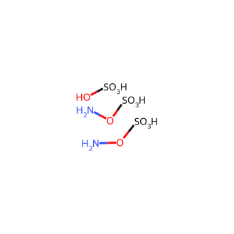 NOS(=O)(=O)O.NOS(=O)(=O)O.O=S(=O)(O)O